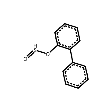 O=[SH]Oc1ccccc1-c1ccccc1